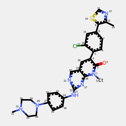 CCn1c(=O)c(-c2ccc(-c3scnc3C)cc2Cl)cc2cnc(Nc3ccc(N4CCN(C)CC4)cc3)nc21